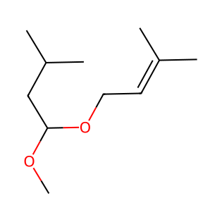 COC(CC(C)C)OCC=C(C)C